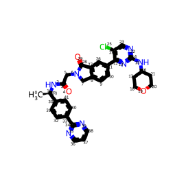 C[C@@H](NC(=O)CN1Cc2ccc(-c3nc(NC4CCOCC4)ncc3Cl)cc2C1=O)c1ccc(-c2ncccn2)cc1